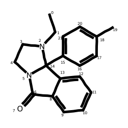 CCN1CCN2C(=O)c3ccccc3C12c1ccc(C)cc1